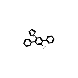 Brc1cc(-c2ccccc2)c(-n2cccc2)cc1-c1ccccc1